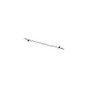 CCCOC(=O)CCCCCCCCCCCCCCCCCCCCCCC(=O)OCCC